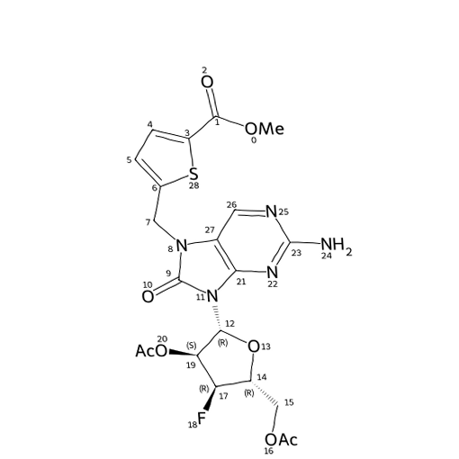 COC(=O)c1ccc(Cn2c(=O)n([C@@H]3O[C@H](COC(C)=O)[C@@H](F)[C@H]3OC(C)=O)c3nc(N)ncc32)s1